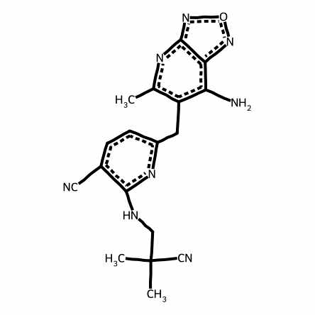 Cc1nc2nonc2c(N)c1Cc1ccc(C#N)c(NCC(C)(C)C#N)n1